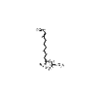 CCCCCCCCC=CCCCCCCC(C)N[C@H](C)C(=O)O